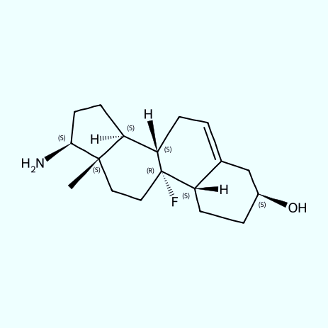 C[C@]12CC[C@]3(F)[C@H]4CC[C@H](O)CC4=CC[C@H]3[C@@H]1CC[C@@H]2N